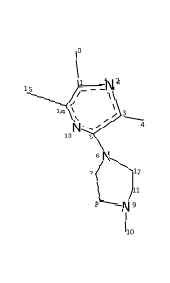 Cc1nc(C)c(N2CCN(C)CC2)nc1C